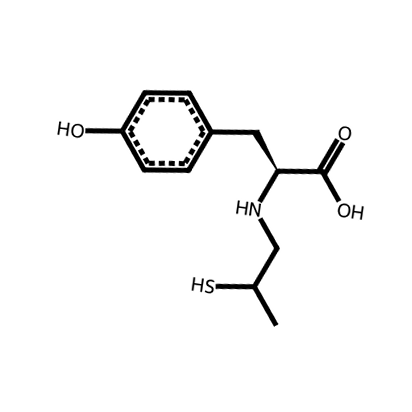 CC(S)CN[C@@H](Cc1ccc(O)cc1)C(=O)O